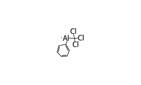 Cl[C](Cl)(Cl)[Al][c]1ccccc1